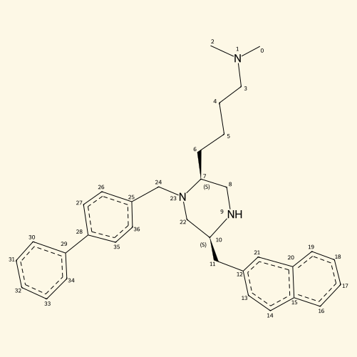 CN(C)CCCC[C@H]1CN[C@@H](Cc2ccc3ccccc3c2)CN1Cc1ccc(-c2ccccc2)cc1